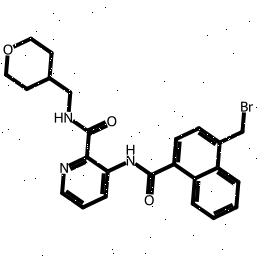 O=C(NCC1CCOCC1)c1ncccc1NC(=O)c1ccc(CBr)c2ccccc12